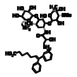 CN[C@@H]1[C@@H](O)[C@@H](O[C@@H]2[C@@H](O)[C@H](O[C@H]3O[C@H](CN)[C@@H](O)[C@H](O)[C@H]3O)[C@@H](N)C[C@H]2NC(=O)C(O)CN)OC[C@]1(C)O.O=C(O)CCCC/C=C(\c1ccccc1)c1cccnc1